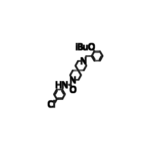 CC(C)COc1ccccc1CN1CCC2(CC1)CCN(C(=O)Nc1ccc(Cl)cc1)CC2